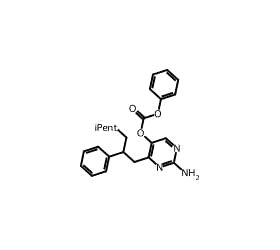 CCCC(C)CC(Cc1nc(N)ncc1OC(=O)Oc1ccccc1)c1ccccc1